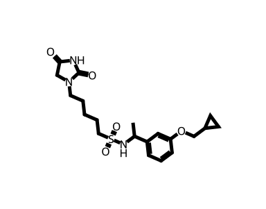 CC(NS(=O)(=O)CCCCCN1CC(=O)NC1=O)c1cccc(OCC2CC2)c1